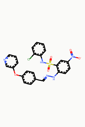 O=[N+]([O-])c1ccc(N/N=C/c2ccc(Oc3cccnc3)cc2)c(S(=O)(=O)Nc2ccccc2Cl)c1